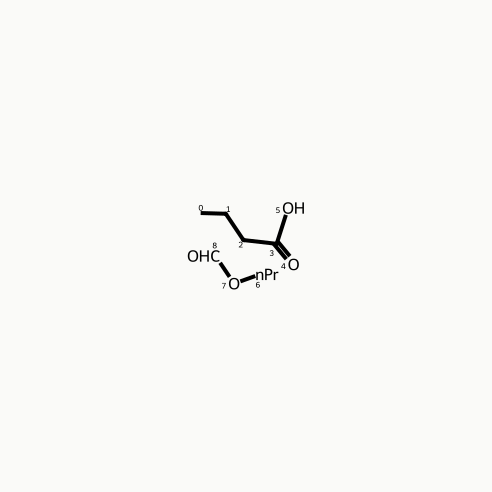 CCCC(=O)O.CCCOC=O